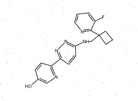 Oc1ccc(-c2ccc(NCC3(c4ncccc4F)CCC3)nn2)nc1